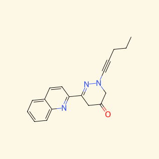 CCCC#CN1CC(=O)CC(c2ccc3ccccc3n2)=N1